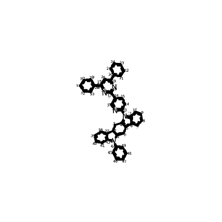 C1=C2C(Cc3c1c1ccccc1n3-c1ccc(-c3nc(-c4ccccc4)cc(-c4ccccc4)n3)cn1)c1ccccc1N2c1ccccc1